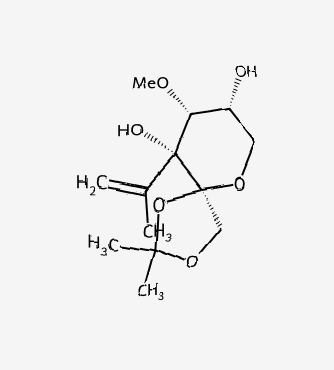 C=C(C)[C@@]1(O)[C@H](OC)[C@H](O)CO[C@]12COC(C)(C)O2